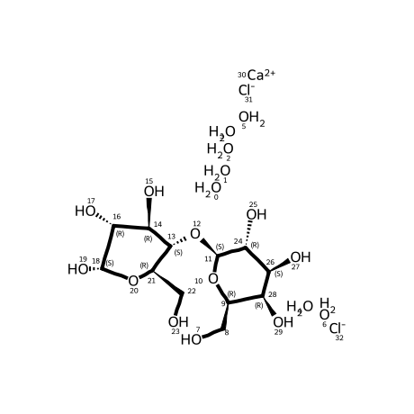 O.O.O.O.O.O.O.OC[C@H]1O[C@@H](O[C@H]2[C@H](O)[C@@H](O)[C@@H](O)O[C@@H]2CO)[C@H](O)[C@@H](O)[C@H]1O.[Ca+2].[Cl-].[Cl-]